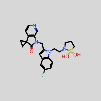 O=C1N(Cc2cc3cc(Cl)ccc3n2CCN2CCCS2(O)O)c2cnccc2C12CC2